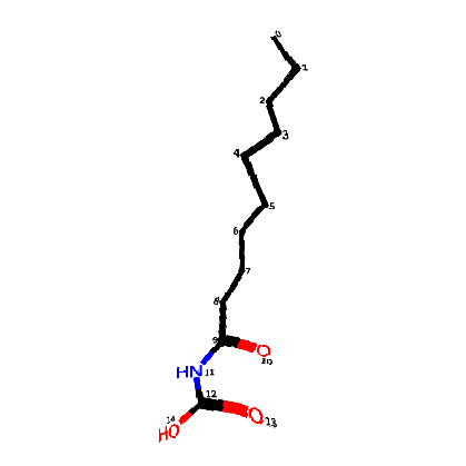 CCCCCCCCCC(=O)NC(=O)O